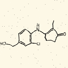 CC1=C(Nc2ccc(CO)cc2Cl)CCC1=O